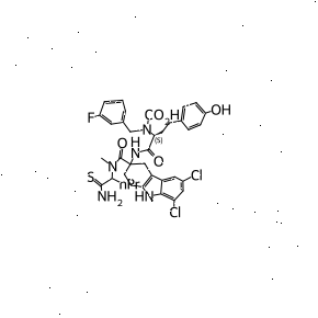 CCCC(C(N)=S)N(C)C(=O)C1(NC(=O)[C@H](CCc2ccc(O)cc2)N(Cc2cccc(F)c2)C(=O)O)CCc2[nH]c3c(Cl)cc(Cl)cc3c2C1